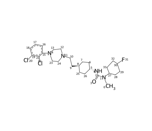 CN(C(=O)N[C@H]1CC[C@H](CCN2CCN(c3cccc(Cl)c3Cl)CC2)CC1)C1CCC(F)CC1